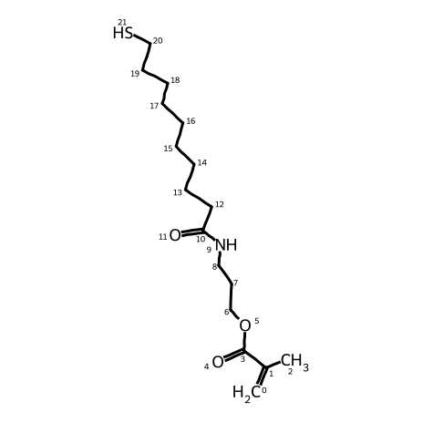 C=C(C)C(=O)OCCCNC(=O)CCCCCCCCCS